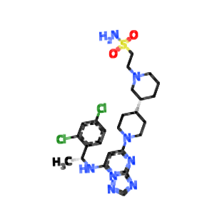 C[C@@H](Nc1cc(N2CCC([C@H]3CCCN(CCS(N)(=O)=O)C3)CC2)nc2ncnn12)c1ccc(Cl)cc1Cl